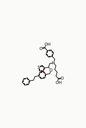 O=C(O)CCCCN(Cc1ccc(C(=O)O)cc1)CC(OCc1ccc(CCc2ccccc2)cc1)c1ccsc1